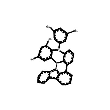 CC(C)(C)c1cc(N2c3cccc4c3B(c3cc(C(C)(C)C)cc(C(C)(C)C)c32)n2c3ccccc3c3cccc-4c32)cc(C(C)(C)C)c1